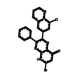 O=c1cc(Br)[nH]c2nc(-c3ccccc3)c(-c3cc(Cl)c4ncccc4c3)nc12